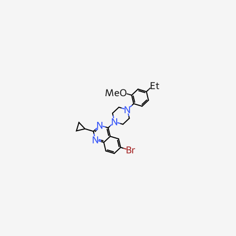 CCc1ccc(N2CCN(c3nc(C4CC4)nc4ccc(Br)cc34)CC2)c(OC)c1